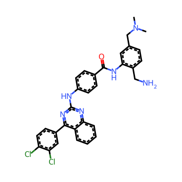 CN(C)Cc1ccc(CN)c(NC(=O)c2ccc(Nc3nc(-c4ccc(Cl)c(Cl)c4)c4ccccc4n3)cc2)c1